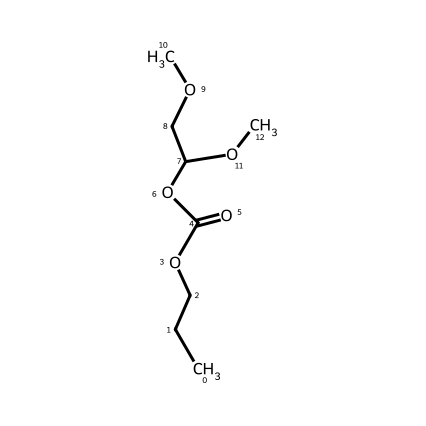 CCCOC(=O)OC(COC)OC